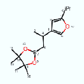 CC(C)c1cc(C(C)CB2OC(C)(C)C(C)(C)O2)co1